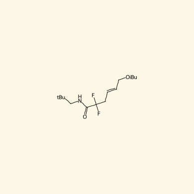 CC(C)COC/C=C/CC(F)(F)C(=O)NCC(C)(C)C